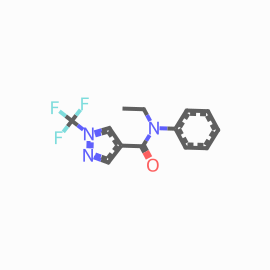 CCN(C(=O)c1cnn(C(F)(F)F)c1)c1ccccc1